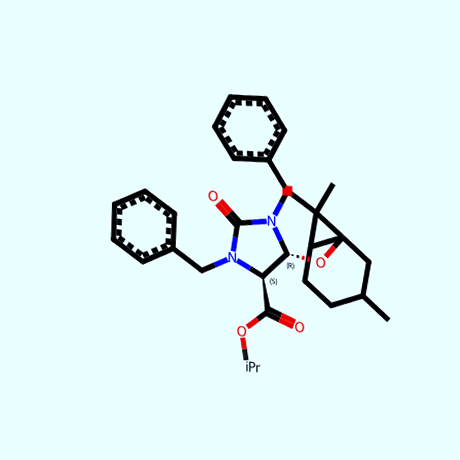 CC1CCC2C(C)(C)C2(O[C@@H]2[C@@H](C(=O)OC(C)C)N(Cc3ccccc3)C(=O)N2Cc2ccccc2)C1